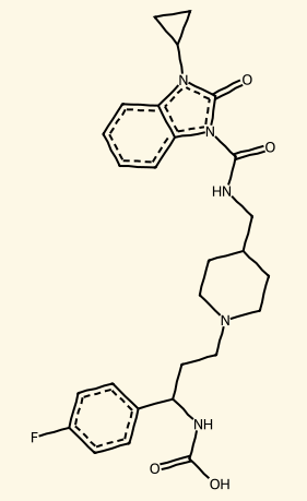 O=C(O)NC(CCN1CCC(CNC(=O)n2c(=O)n(C3CC3)c3ccccc32)CC1)c1ccc(F)cc1